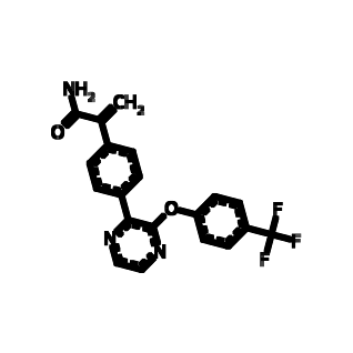 C=C(C(N)=O)c1ccc(-c2nccnc2Oc2ccc(C(F)(F)F)cc2)cc1